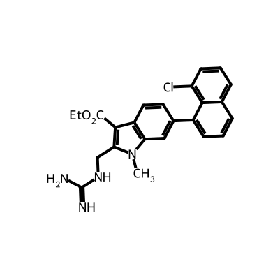 CCOC(=O)c1c(CNC(=N)N)n(C)c2cc(-c3cccc4cccc(Cl)c34)ccc12